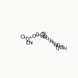 CC(C)(C)OC(=O)N1CCC(N2CCC3(CCN(c4nccc(COc5ccc(C(C)(C)c6cc(Cl)cc(C#N)c6)cc5)n4)CC3)CC2)CC1